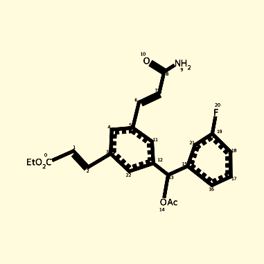 CCOC(=O)C=Cc1cc(C=CC(N)=O)cc(C(OC(C)=O)c2cccc(F)c2)c1